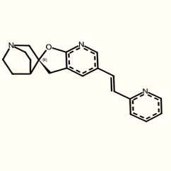 C(=Cc1ccccn1)c1cnc2c(c1)C[C@@]1(CN3CCC1CC3)O2